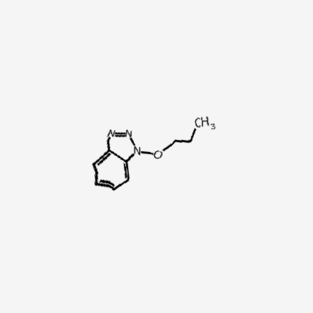 CCCOn1nnc2ccccc21